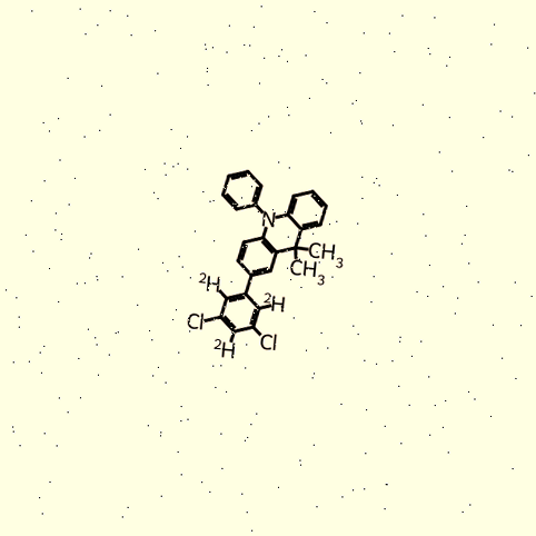 [2H]c1c(Cl)c([2H])c(-c2ccc3c(c2)C(C)(C)c2ccccc2N3c2ccccc2)c([2H])c1Cl